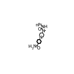 CCCNC(=O)N(C)C1CCN(c2ccc(C(N)=O)cc2)CC1